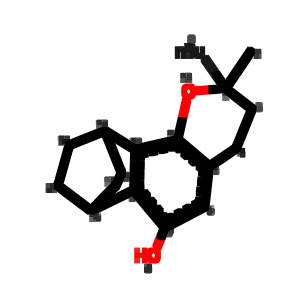 CCCCC1(C)CCc2cc(O)c3c(c2O1)C1CCC3CC1